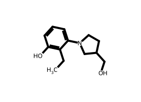 CCc1c(O)cccc1N1CCC(CO)C1